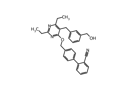 CCc1nc(CC)c(Cc2cccc(CO)c2)c(OCc2ccc(-c3ccccc3C#N)cc2)n1